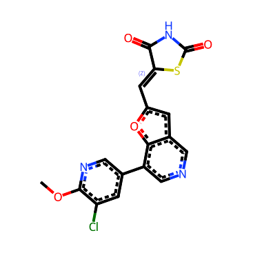 COc1ncc(-c2cncc3cc(/C=C4\SC(=O)NC4=O)oc23)cc1Cl